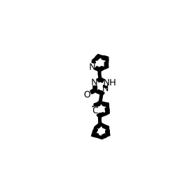 O=c1nc(-c2ccccn2)[nH]nc1-c1ccc(-c2ccccc2)cc1